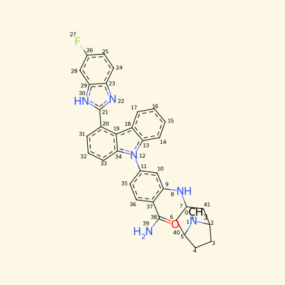 CN1C2CCC1CC(Nc1cc(-n3c4ccccc4c4c(-c5nc6ccc(F)cc6[nH]5)cccc43)ccc1C(N)=O)C2